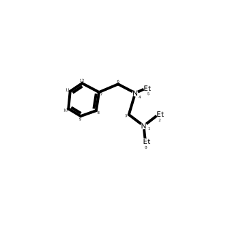 CCN(CC)CN(CC)Cc1ccccc1